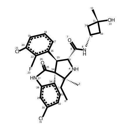 CC[C@]1(C)N[C@@H](C(=O)N[C@H]2C[C@@](C)(O)C2)[C@H](c2cccc(Cl)c2F)[C@]12C(=O)Nc1cc(Cl)ccc12